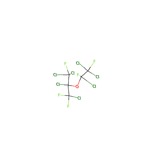 FC(F)(Cl)C(Cl)(OC(F)(Cl)C(F)(Cl)Cl)C(F)(Cl)Cl